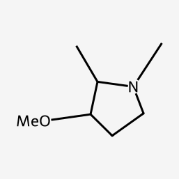 COC1CCN(C)C1C